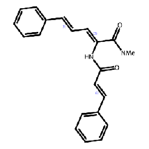 CNC(=O)/C(=C/C=C/c1ccccc1)NC(=O)/C=C/c1ccccc1